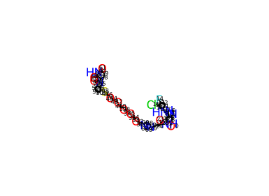 COc1cc2ncnc(Nc3ccc(F)c(Cl)c3)c2cc1NC(=O)/C=C/CN1CCN(CCOCCOCCOCCOCCOCCSc2cccc3c2CN(C2CCC(=O)NC2=O)C3=O)CC1